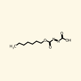 CCCCCCCOC(=O)N=NC(=O)O